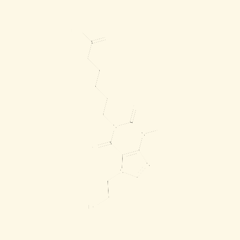 CCCn1cnc2c1c(=O)n(CCCCCC(C)=O)c(=O)n2C